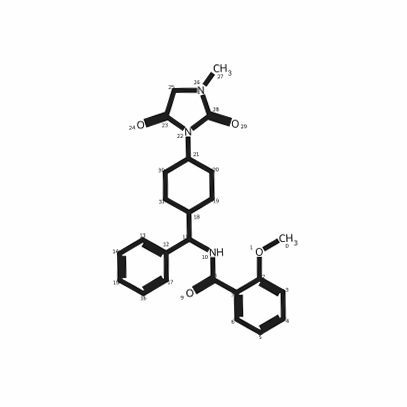 COc1ccccc1C(=O)NC(c1ccccc1)C1CCC(N2C(=O)CN(C)C2=O)CC1